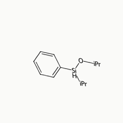 CC(C)O[SiH](c1ccccc1)C(C)C